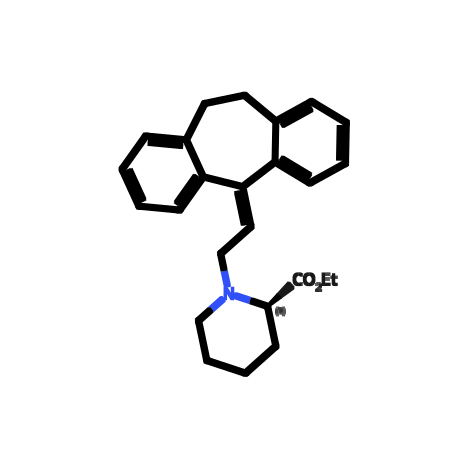 CCOC(=O)[C@H]1CCCCN1CC=C1c2ccccc2CCc2ccccc21